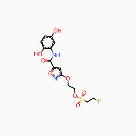 O=C(Nc1cc(O)ccc1O)c1cc(OCCOS(=O)(=O)CCF)no1